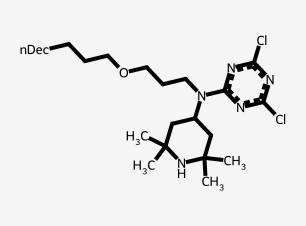 CCCCCCCCCCCCCOCCCN(c1nc(Cl)nc(Cl)n1)C1CC(C)(C)NC(C)(C)C1